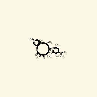 CO[C@]1(C)C[C@@H](C)CN(C)C2(CCN(C(C)=O)CC2)COC(=O)C(C)C(=O)[C@H](C)[C@H]1O[C@@H]1O[C@H](C)C[C@H](N(C)C)[C@H]1O